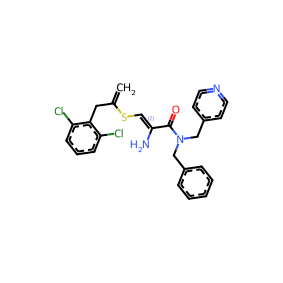 C=C(Cc1c(Cl)cccc1Cl)S/C=C(\N)C(=O)N(Cc1ccccc1)Cc1ccncc1